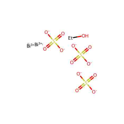 CCO.O=S(=O)([O-])[O-].O=S(=O)([O-])[O-].O=S(=O)([O-])[O-].[Bi+3].[Bi+3]